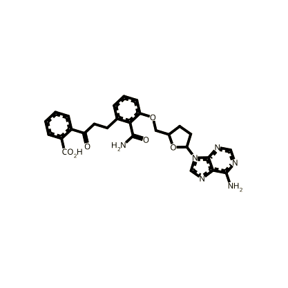 NC(=O)c1c(CCC(=O)c2ccccc2C(=O)O)cccc1OCC1CCC(n2cnc3c(N)ncnc32)O1